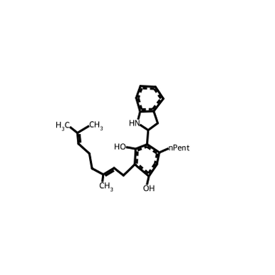 CCCCCc1cc(O)c(C/C=C(\C)CCC=C(C)C)c(O)c1C1Cc2ccccc2N1